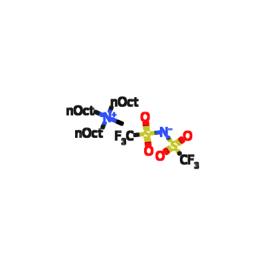 CCCCCCCC[N+](C)(CCCCCCCC)CCCCCCCC.O=S(=O)([N-]S(=O)(=O)C(F)(F)F)C(F)(F)F